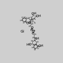 CC[N+](CCO)(CCO)C(Cc1ccccc1O)OCCOOOOCCNC(CCO)Cc1ccccc1O.[Cl-]